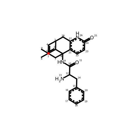 C/C=C1\C2C=C(C)CC1(NC(=O)C(N)Cc1ccccc1)c1ccc(=O)[nH]c1C2